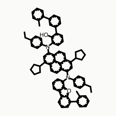 CCc1ccc(N(c2cccc(-c3cccc(-c4ccccc4C)c3)c2O)c2cc(C3CCCC3)c3ccc4c(N(c5ccc(CC)cc5)c5cccc6c5oc5c(-c7ccccc7C)cccc56)cc(C5CCCC5)c5ccc2c3c54)cc1